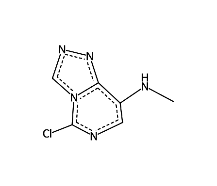 CNc1cnc(Cl)n2cnnc12